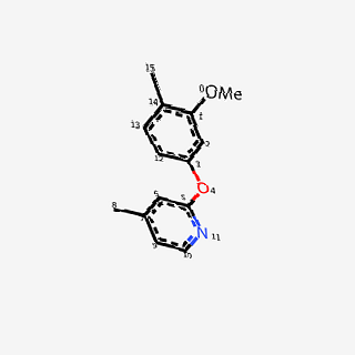 COc1cc(Oc2cc(C)ccn2)ccc1C